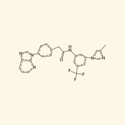 Cc1cn(-c2cc(NC(=O)Cc3ccc(-n4cnc5cccnc54)cc3)cc(C(F)(F)F)c2)cn1